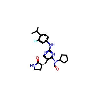 CC(C)c1ccc(Nc2ncc(C[C@@H]3CCNC3=O)c(N(C=O)C3CCCC3)n2)cc1F